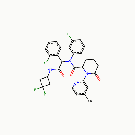 N#Cc1ccnc(N2C(=O)CCC[C@H]2C(=O)N(c2cccc(F)c2)[C@@H](C(=O)NC2CC(F)(F)C2)c2ccccc2Cl)c1